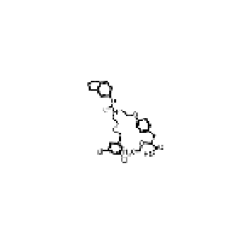 CCOC(Cc1ccc(OCCN(CCOCc2cc(Cl)cc(Cl)c2)C(=O)Oc2ccc3c(c2)CCC3)cc1)C(=O)O